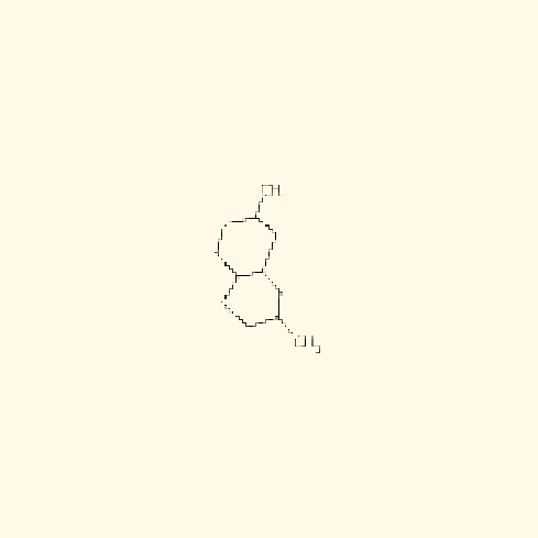 CC1CCC2CCC(C)CC2C1